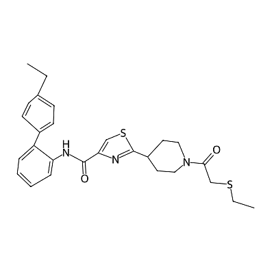 CCSCC(=O)N1CCC(c2nc(C(=O)Nc3ccccc3-c3ccc(CC)cc3)cs2)CC1